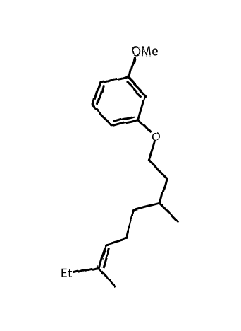 CCC(C)=CCCC(C)CCOc1cccc(OC)c1